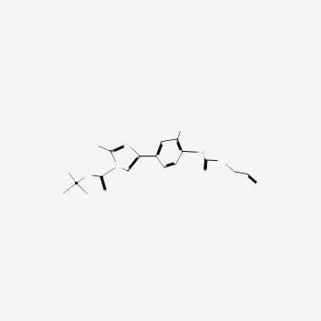 C=CCOC(=O)Nc1ccc(-c2cn(C(=O)OC(C)(C)C)c(N)n2)cc1Cl